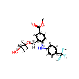 COC(=O)c1ccc(Nc2ccc(C(F)(F)F)cc2)c(BOC(C)(C)C(C)(C)O)c1